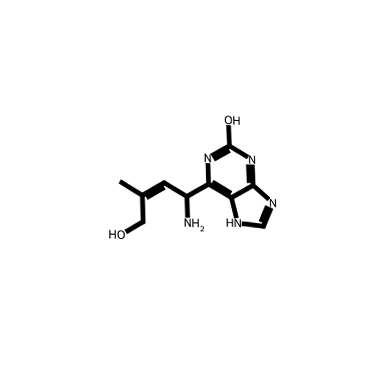 CC(=CC(N)c1nc(O)nc2nc[nH]c12)CO